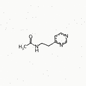 CC(=O)NCCc1ccncn1